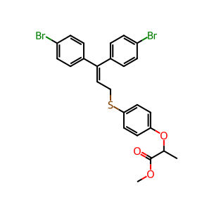 COC(=O)C(C)Oc1ccc(SCC=C(c2ccc(Br)cc2)c2ccc(Br)cc2)cc1